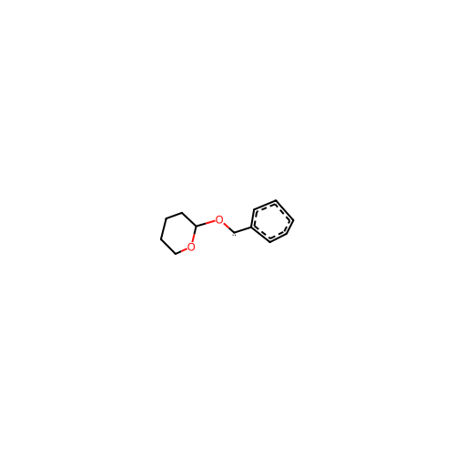 [C](OC1CCCCO1)c1ccccc1